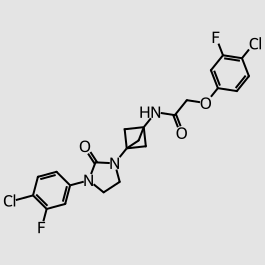 O=C(COc1ccc(Cl)c(F)c1)NC12CC(N3CCN(c4ccc(Cl)c(F)c4)C3=O)(C1)C2